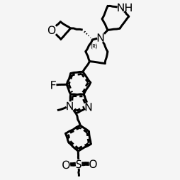 Cn1c(-c2ccc(S(C)(=O)=O)cc2)nc2cc(C3CCN(C4CCNCC4)[C@@H](CC4COC4)C3)cc(F)c21